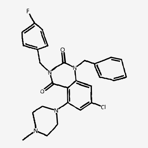 CN1CCN(c2cc(Cl)cc3c2c(=O)n(Cc2ccc(F)cc2)c(=O)n3Cc2ccccc2)CC1